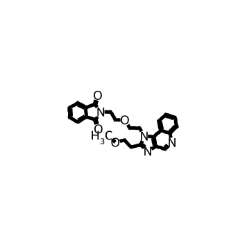 COCCc1nc2cnc3ccccc3c2n1CCOCCN1C(=O)c2ccccc2C1=O